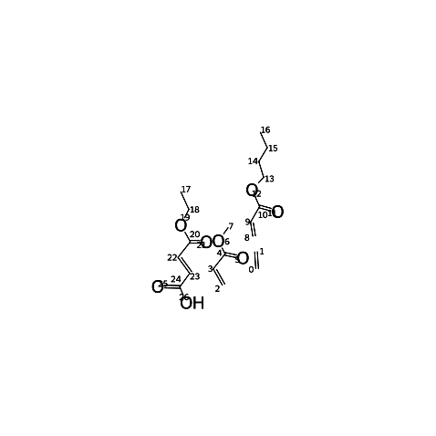 C=C.C=CC(=O)OC.C=CC(=O)OCCCC.CCOC(=O)C=CC(=O)O